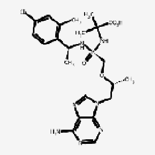 Cc1cc(Cl)ccc1[C@H](C)N[P@](=O)(CO[C@H](C)Cn1cnc2c(N)ncnc21)NC(C)(C)C(=O)O